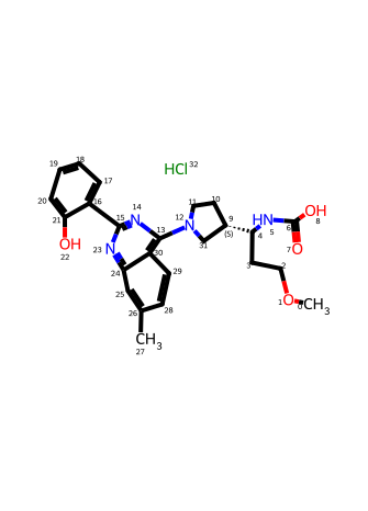 COCCC(NC(=O)O)[C@H]1CCN(c2nc(-c3ccccc3O)nc3cc(C)ccc23)C1.Cl